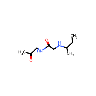 CCC(C)NCC(=O)NCC(C)=O